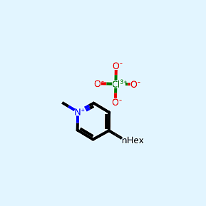 CCCCCCc1cc[n+](C)cc1.[O-][Cl+3]([O-])([O-])[O-]